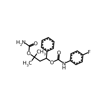 CC(C)(CC(OC(=O)Nc1ccc(F)cc1)c1ccccc1)OC(N)=O